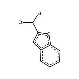 CCC(CC)c1cc2ccccc2o1